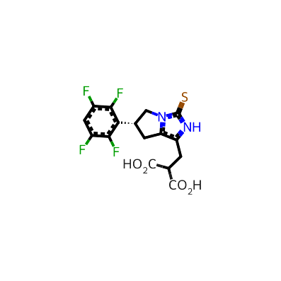 O=C(O)C(Cc1[nH]c(=S)n2c1C[C@H](c1c(F)c(F)cc(F)c1F)C2)C(=O)O